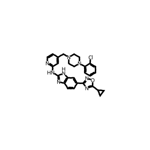 Clc1ccccc1N1CCN(Cc2ccnc(Nc3nc4ccc(-c5noc(C6CC6)n5)cc4[nH]3)c2)CC1